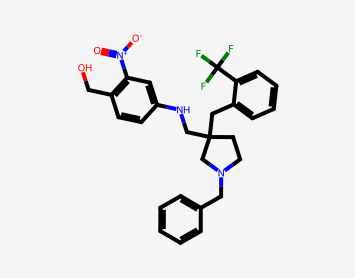 O=[N+]([O-])c1cc(NCC2(Cc3ccccc3C(F)(F)F)CCN(Cc3ccccc3)C2)ccc1CO